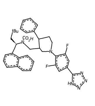 CC(C)(C)C[C@H](c1cccc2ccccc12)N(CC1CN(c2c(F)cc(-c3nnn[nH]3)cc2F)CCC1c1ccccc1)C(=O)O